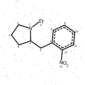 CCN1CCCC1Cc1ccccc1[N+](=O)[O-]